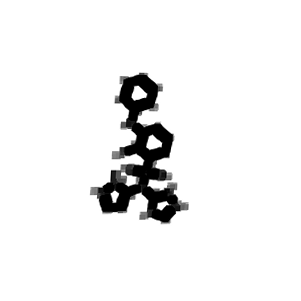 O=S(=O)(c1cccc(Oc2ccccc2)c1F)N(c1ccn[nH]1)c1nncs1